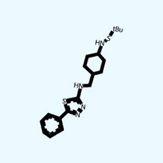 CC(C)(C)SNC1CCC(CNc2nnc(-c3ccccc3)s2)CC1